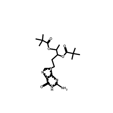 CC(OC(=O)C(C)(C)C)C(CCn1cnc2c(=O)[nH]c(N)nc21)OC(=O)C(C)(C)C